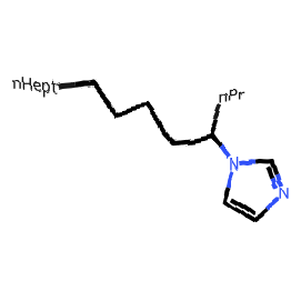 CCCCCCCCCCCC(CCC)n1ccnc1